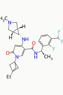 CCC12CC(n3cc(C(=O)N[C@H](C)c4cccc(C(F)F)c4F)c(N[C@@H]4[C@@H]5CN(C)C[C@@H]54)cc3=O)(C1)C2